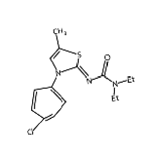 CCN(CC)C(=O)N=c1sc(C)cn1-c1ccc(Cl)cc1